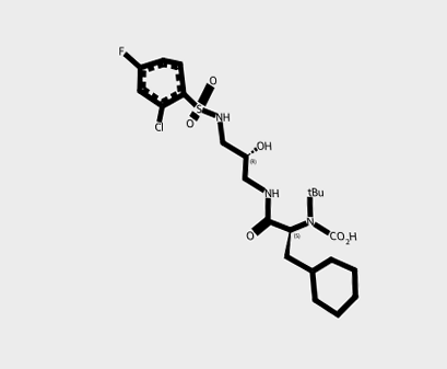 CC(C)(C)N(C(=O)O)[C@@H](CC1CCCCC1)C(=O)NC[C@@H](O)CNS(=O)(=O)c1ccc(F)cc1Cl